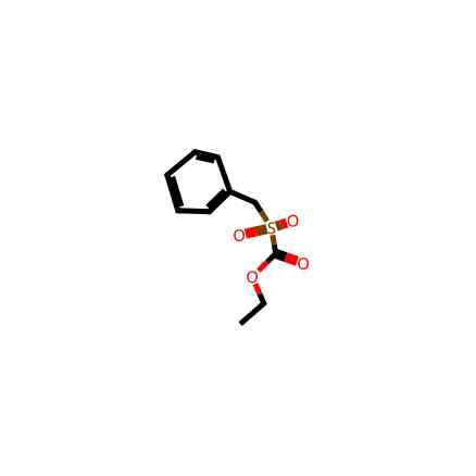 CCOC(=O)S(=O)(=O)Cc1ccccc1